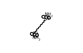 Nc1c2c([n+](CCCCCCCCCCCC[n+]3c4c(c(N)c5ccccc53)CCCC4)c3ccccc13)CCCC2